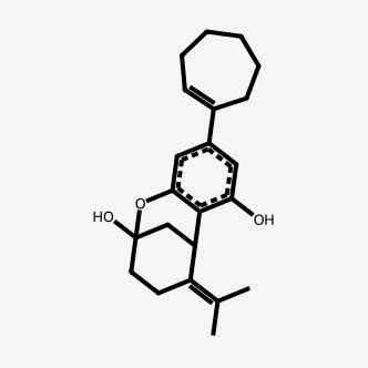 CC(C)=C1CCC2(O)CC1c1c(O)cc(C3=CCCCCC3)cc1O2